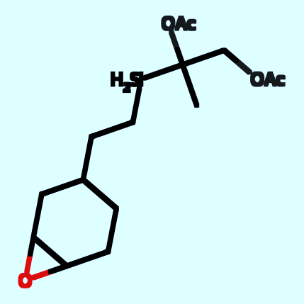 CC(=O)OCC(C)(OC(C)=O)[SiH2]CCC1CCC2OC2C1